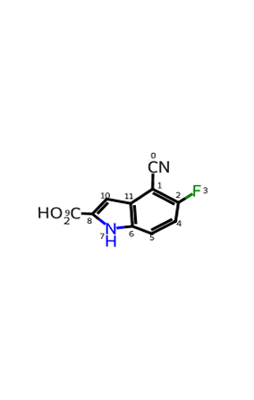 N#Cc1c(F)ccc2[nH]c(C(=O)O)cc12